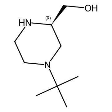 CC(C)(C)N1CCN[C@@H](CO)C1